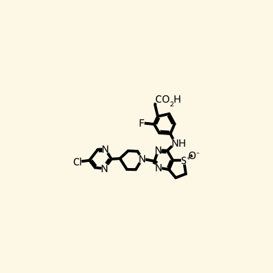 O=C(O)Cc1ccc(Nc2nc(N3CCC(c4ncc(Cl)cn4)CC3)nc3c2[S+]([O-])CC3)cc1F